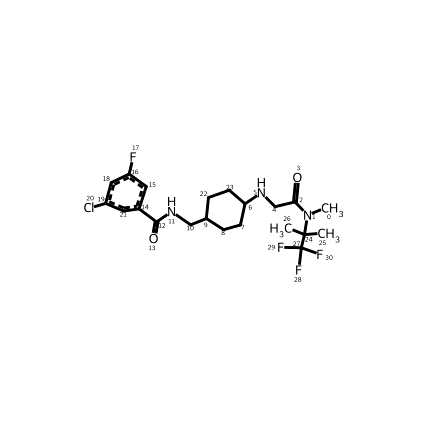 CN(C(=O)CNC1CCC(CNC(=O)c2cc(F)cc(Cl)c2)CC1)C(C)(C)C(F)(F)F